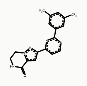 O=C1NCCn2nc(-c3ccnc(-c4cc(C(F)(F)F)cc(C(F)(F)F)c4)n3)cc21